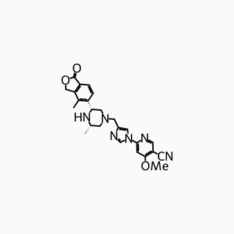 COc1cc(-n2cnc(CN3C[C@@H](c4ccc5c(c4C)COC5=O)N[C@@H](C)C3)c2)ncc1C#N